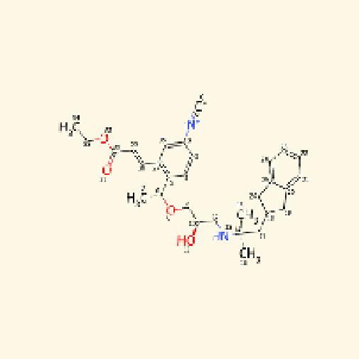 [C-]#[N+]c1ccc([C@@H](C)OC[C@H](O)CNC(C)(C)CC2Cc3ccccc3C2)c(/C=C/C(=O)OCC)c1